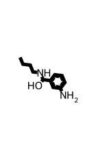 CCCCNC(O)c1cccc(N)c1